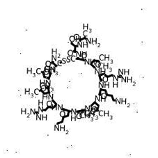 CC(C)CC1NC(=O)C(CC(C)C)NC(=O)C(CCCNC(=N)N)NC(=O)C(CCCCN)NC(=O)C(C)(C)NC(=O)C(CC(C)C)NC(=O)C(CCCCN)NC(=O)C(CCCNC(=N)N)NC(=O)C(CC(C)C)NC(=O)C(NC(=O)C(CO)NC(=O)C(C)N)CSSCC(C(N)=O)NC1=O